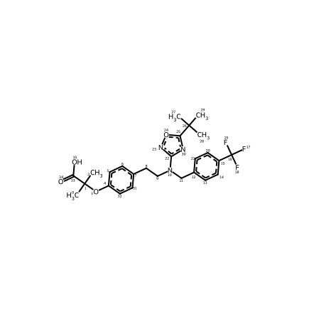 CC(C)(Oc1ccc(CCN(Cc2ccc(C(F)(F)F)cc2)c2noc(C(C)(C)C)n2)cc1)C(=O)O